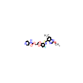 COc1cnc2c(-c3nc4c(F)cc5c(c4s3)OC[C@H](COC(=O)Nc3ccncc3)O5)cc(C)cc2n1